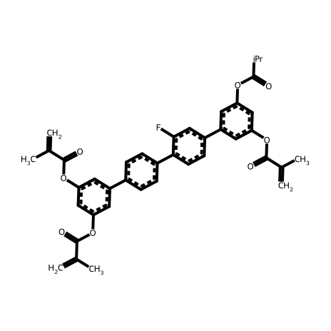 C=C(C)C(=O)Oc1cc(OC(=O)C(=C)C)cc(-c2ccc(-c3ccc(-c4cc(OC(=O)C(=C)C)cc(OC(=O)C(C)C)c4)cc3F)cc2)c1